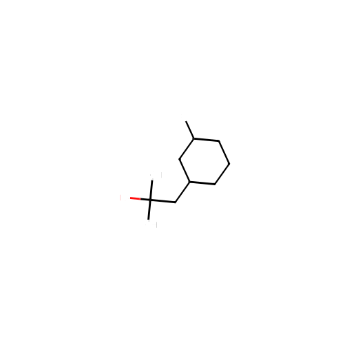 CC1CCCC(CC(C)(C)O)C1